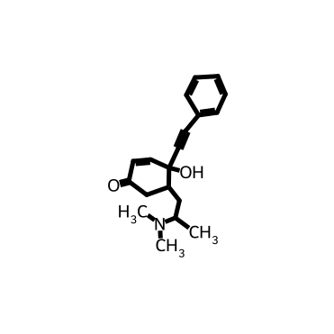 CC(CC1CC(=O)C=CC1(O)C#Cc1ccccc1)N(C)C